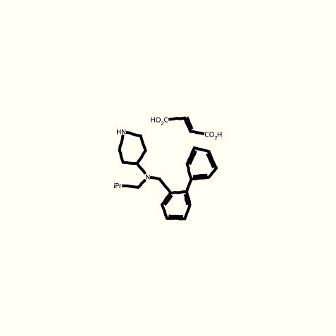 CC(C)CN(Cc1ccccc1-c1ccccc1)C1CCNCC1.O=C(O)C=CC(=O)O